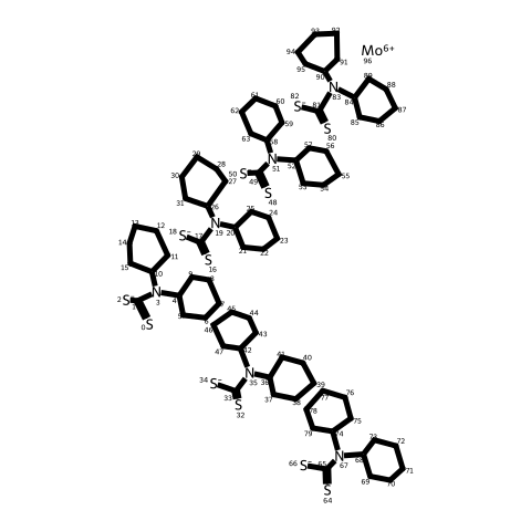 S=C([S-])N(C1CCCCC1)C1CCCCC1.S=C([S-])N(C1CCCCC1)C1CCCCC1.S=C([S-])N(C1CCCCC1)C1CCCCC1.S=C([S-])N(C1CCCCC1)C1CCCCC1.S=C([S-])N(C1CCCCC1)C1CCCCC1.S=C([S-])N(C1CCCCC1)C1CCCCC1.[Mo+6]